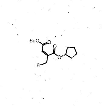 CC(C)COC(=O)/C=C(/CC(C)C)C(=O)OC1CCCC1